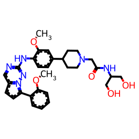 COc1cc(C2CCN(CC(=O)NC(CO)CO)CC2)ccc1Nc1ncc2ccc(-c3ccccc3OC)n2n1